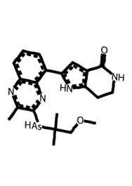 COCC(C)(C)[AsH]c1nc2c(-c3cc4c([nH]3)CCNC4=O)cccc2nc1C